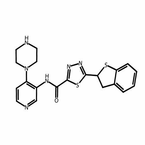 O=C(Nc1cnccc1N1CCNCC1)c1nnc(C2Cc3ccccc3S2)s1